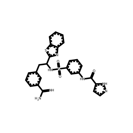 N=C(N)c1cccc(CC(NS(=O)(=O)c2cccc(NC(=O)c3ccn[nH]3)c2)c2nc3ccccc3s2)c1